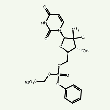 CCOC(=O)COP(=O)(OC[C@H]1O[C@@H](n2ccc(=O)[nH]c2=O)[C@](C)(Cl)[C@@H]1O)Oc1ccccc1